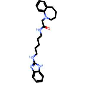 O=C(CN1CCC[C]c2ccccc21)NCCCCCNc1nc2ccccc2[nH]1